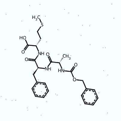 CSCC[C@H](NC(=O)[C@H](Cc1ccccc1)NC(=O)[C@H](C)NC(=O)OCc1ccccc1)C(=O)O